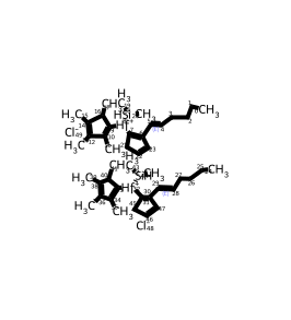 CCCC/C=C/C1=[C]([Hf+]([C]2=C(C)C(C)=C(C)C2C)[SiH](C)C)CC=C1.CCCC/C=C/C1=[C]([Hf+]([C]2=C(C)C(C)=C(C)C2C)[SiH](C)C)CC=C1.[Cl-].[Cl-]